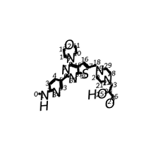 CNc1ccc(-c2nc(N3CCOCC3)c3cc(CN4CCN(C[C@H](O)C=O)CC4)sc3n2)cn1